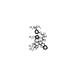 Cc1ccccc1CNC(=O)C1N(C(=O)[C@@H](O)[C@H](Cc2ccccc2)NC(=O)C(C)NC(=O)COc2cccc(N(C)C)c2)CSC1(C)C